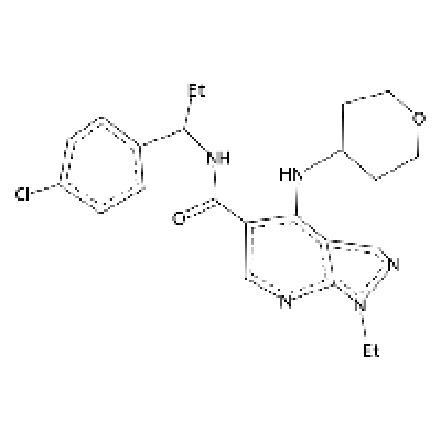 CCC(NC(=O)c1cnc2c(cnn2CC)c1NC1CCOCC1)c1ccc(Cl)cc1